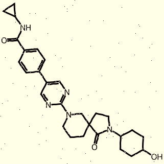 O=C(NC1CC1)c1ccc(-c2cnc(N3CCCC4(CCN(C5CCC(O)CC5)C4=O)C3)nc2)cc1